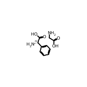 NCC(=O)O.N[C@H](C(=O)O)c1ccccc1